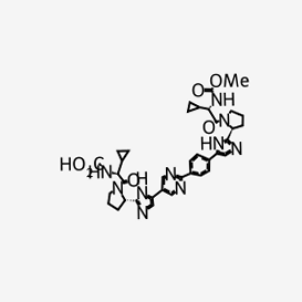 COC(=O)N[C@H](C(=O)N1CCC[C@H]1c1ncc(-c2ccc(-c3ncc(-c4cnc([C@@H]5CCCN5C(=O)[C@@H](NC(=O)O)C5CC5)[nH]4)cn3)cc2)[nH]1)C1CC1